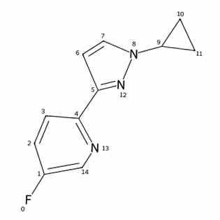 Fc1ccc(-c2ccn(C3CC3)n2)nc1